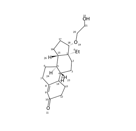 CC[C@]12CC[C@H]3[C@@H](CCC4=CC(=O)CC[C@@H]43)[C@@H]1CC[C@@H]2OCCO